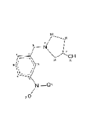 O=[N+]([O-])c1cccc(CN2CCC(O)C2)c1